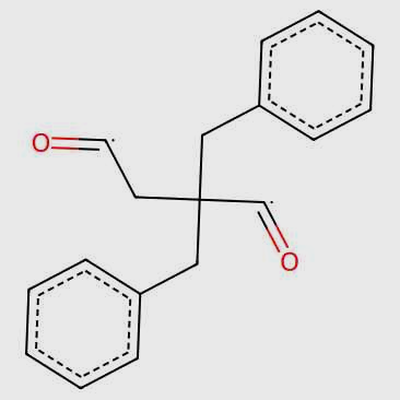 O=[C]CC([C]=O)(Cc1ccccc1)Cc1ccccc1